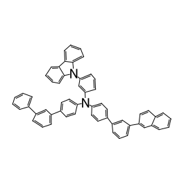 c1ccc(-c2cccc(-c3ccc(N(c4ccc(-c5cccc(-c6ccc7ccccc7c6)c5)cc4)c4cccc(-n5c6ccccc6c6ccccc65)c4)cc3)c2)cc1